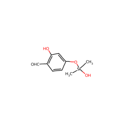 C[Si](C)(O)Oc1ccc(C=O)c(O)c1